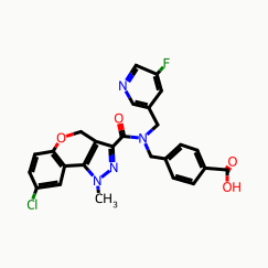 Cn1nc(C(=O)N(Cc2ccc(C(=O)O)cc2)Cc2cncc(F)c2)c2c1-c1cc(Cl)ccc1OC2